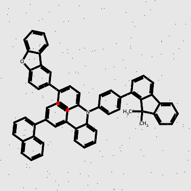 CC1(C)c2ccccc2-c2cccc(-c3ccc(N(c4ccc(-c5ccc6oc7ccccc7c6c5)cc4)c4ccccc4-c4cccc(-c5cccc6ccccc56)c4)cc3)c21